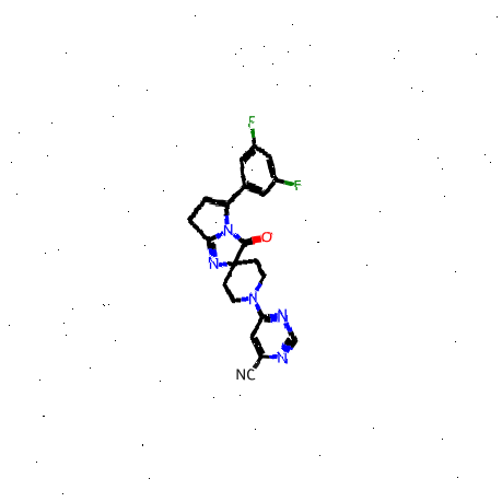 N#Cc1cc(N2CCC3(CC2)N=C2CCC(c4cc(F)cc(F)c4)N2C3=O)ncn1